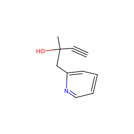 C#CC(C)(O)Cc1ccccn1